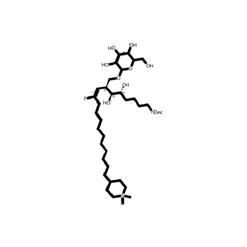 CCCCCCCCCCCCCC[C@@H](O)[C@@H](O)[C@@H](/C=C(/F)CCCCCCCCCCC1CCS(C)(C)CC1)COC1OC(CO)C(O)C(O)C1O